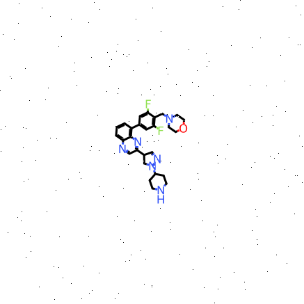 Fc1cc(-c2cccc3ncc(C4C=NN(C5CCNCC5)C4)nc23)cc(F)c1CN1CCOCC1